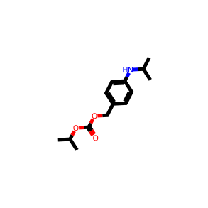 CC(C)Nc1ccc(COC(=O)OC(C)C)cc1